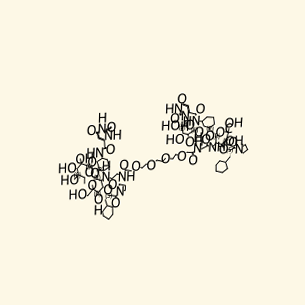 CC1O[C@@H](OC2C(NC(=O)c3cc(=O)[nH]c(=O)[nH]3)CCC[C@H]2O[C@@H]2OC(CO)[C@H](O)C(O[C@@H](CC3CCCCC3)C(=O)N3CCC3)C2NC(=O)CNC(=O)COCCOCCOCCOCC(=O)NCC(=O)NC2C(O[C@@H](CC3CCCCC3)C(=O)N3CCC3)[C@@H](O)C(CO)O[C@H]2O[C@@H]2CCCC(NC(=O)c3cc(=O)[nH]c(=O)[nH]3)C2O[C@@H]2OC(C)[C@@H](O)C(O)C2O)C(O)C(O)[C@@H]1O